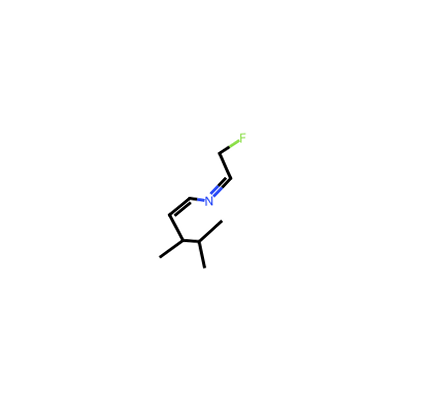 CC(C)C(C)/C=C\N=C/CF